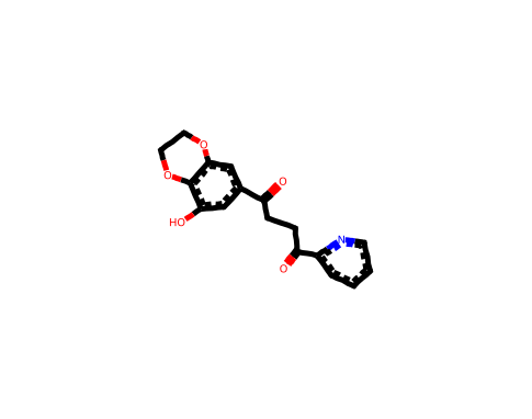 O=C(CCC(=O)c1ccccn1)c1cc(O)c2c(c1)OCCO2